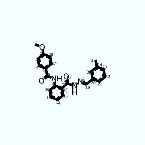 COc1ccc(C(=O)Nc2ccccc2C(=O)NN=Cc2cccc(C)c2)cc1